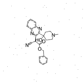 CN1CCC(O)(c2nc3ccccc3nc2C(C#N)C(=O)OCc2ccccc2)CC1